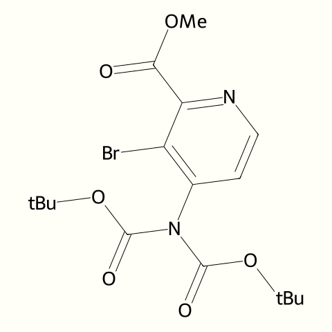 COC(=O)c1nccc(N(C(=O)OC(C)(C)C)C(=O)OC(C)(C)C)c1Br